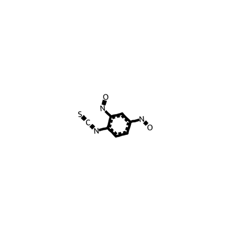 O=Nc1ccc(N=C=S)c(N=O)c1